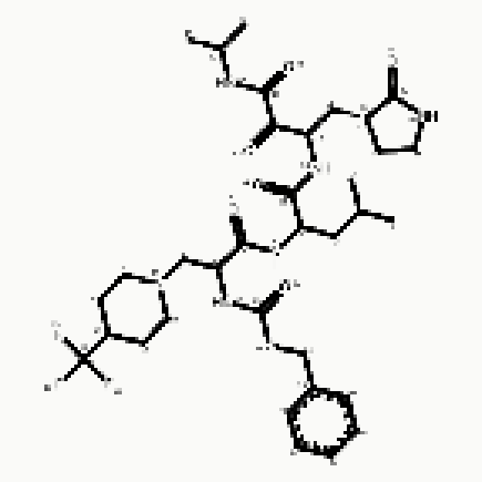 CC(C)CC(NC(=O)C(CN1CCC(C(F)(F)F)CC1)NC(=O)OCc1ccccc1)C(=O)NC(C[C@@H]1CCNC1=O)C(=O)C(=O)NC(C)C